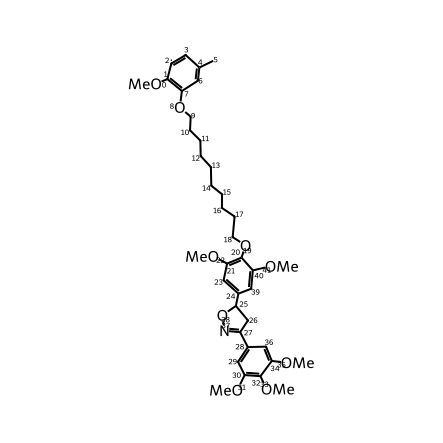 COc1[c]cc(C)cc1OCCCCCCCCCCOc1c(OC)cc(C2CC(c3cc(OC)c(OC)c(OC)c3)=NO2)cc1OC